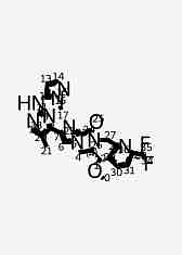 COC[C@H]1Cn2cc(-c3nc(Nc4ccnn4C)ncc3C)nc2C(=O)N1Cc1cccc(C(F)F)n1